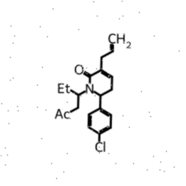 C=CCC1=CCC(c2ccc(Cl)cc2)N(C(CC)CC(C)=O)C1=O